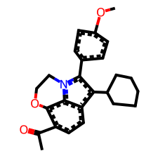 COc1ccc(-c2c(C3CCCCC3)c3ccc(C(C)=O)c4c3n2CCO4)cc1